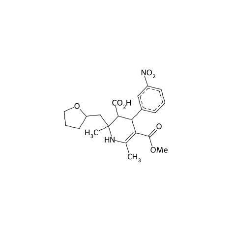 COC(=O)C1=C(C)NC(C)(CC2CCCO2)C(C(=O)O)C1c1cccc([N+](=O)[O-])c1